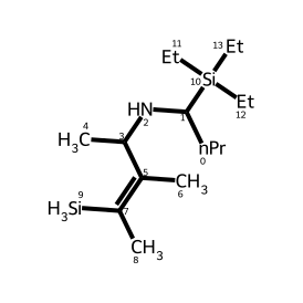 CCCC(NC(C)C(C)=C(C)[SiH3])[Si](CC)(CC)CC